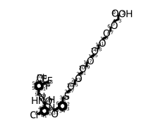 O=C(O)CCOCCOCCOCCOCCOCCOCCOCCOCCSCc1cccc(C(=O)Nc2ccc(Cl)cc2C(=O)N/N=C/c2ccc(Cl)c(C(F)(F)F)c2)c1